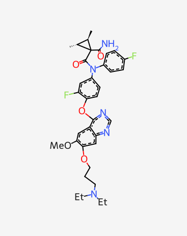 CCN(CC)CCCOc1cc2ncnc(Oc3ccc(N(C(=O)C4(C(N)=O)[C@H](C)[C@H]4C)c4ccc(F)cc4)cc3F)c2cc1OC